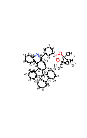 CC1(C)OB(c2cccc(-c3nc4ccccc4c4c5c(ccc34)C3(c4ccccc4-c4ccccc43)c3ccccc3-5)c2)OC1(C)C